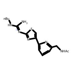 CCCCN/C(N)=N/c1nc(-c2cccc(CNC(C)=O)n2)cs1